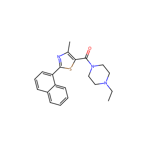 CCN1CCN(C(=O)c2sc(-c3cccc4ccccc34)nc2C)CC1